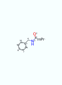 CC[CH]C(=O)NCc1ccccc1